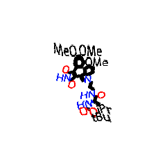 COc1cc(C2=C(c3cn(CCCNC(=O)C(CC(C)C)NC(=O)OC(C)(C)C)c4ccccc34)C(=O)NC2=O)cc(OC)c1OC